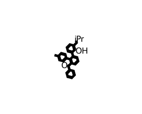 Cc1ccc(-c2c(C(=O)c3ccccc3)cccc2-c2cccc(CC(C)C)c2O)cc1